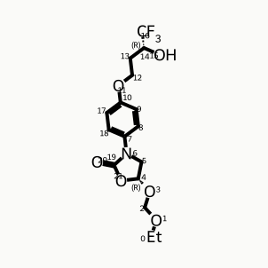 CCOCO[C@H]1CN(c2ccc(OCC[C@@H](O)C(F)(F)F)cc2)C(=O)O1